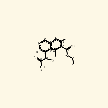 CCOC(=O)c1c(C)cc2cnnc(C(Br)C(=O)O)c2c1C